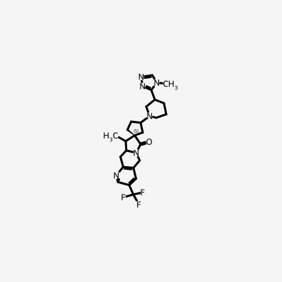 CC1C2Cc3ncc(C(F)(F)F)cc3CN2C(=O)[C@]12CCC(N1CCCC(c3nncn3C)C1)C2